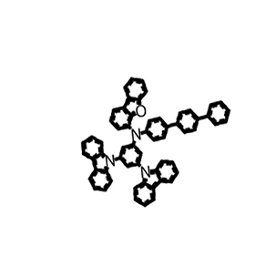 c1ccc(-c2ccc(-c3ccc(N(c4cc(-n5c6ccccc6c6ccccc65)cc(-n5c6ccccc6c6ccccc65)c4)c4cccc5c4oc4ccccc45)cc3)cc2)cc1